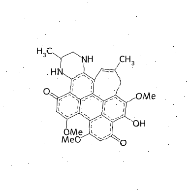 COc1c(O)c2c(=O)cc(OC)c3c4c(OC)cc(=O)c5c6c(c7c(c(c1CC(C)=C7)c23)c54)NCC(C)N6